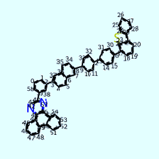 c1cc(-c2ccc3cc(-c4ccc(-c5ccc(-c6cccc7c6sc6ccccc67)cc5)cc4)ccc3c2)cc(-c2cnc3c4ccccc4c4ccccc4c3n2)c1